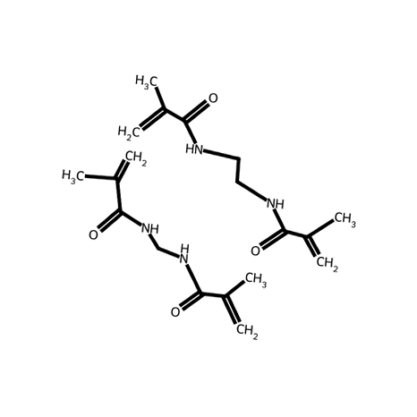 C=C(C)C(=O)NCCNC(=O)C(=C)C.C=C(C)C(=O)NCNC(=O)C(=C)C